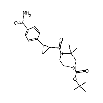 CC(C)(C)OC(=O)N1CCN(C(=O)C2CC2c2ccc(C(N)=O)cc2)C(C)(C)C1